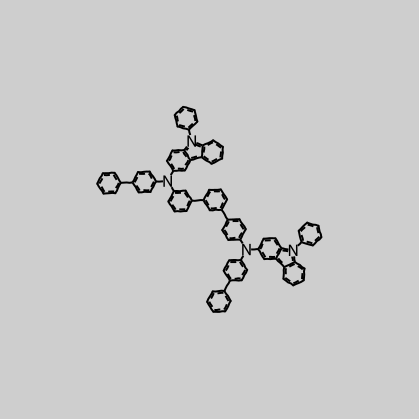 c1ccc(-c2ccc(N(c3ccc(-c4cccc(-c5cccc(N(c6ccc(-c7ccccc7)cc6)c6ccc7c(c6)c6ccccc6n7-c6ccccc6)c5)c4)cc3)c3ccc4c(c3)c3ccccc3n4-c3ccccc3)cc2)cc1